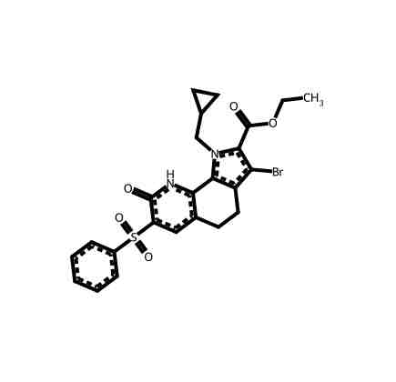 CCOC(=O)c1c(Br)c2c(n1CC1CC1)-c1[nH]c(=O)c(S(=O)(=O)c3ccccc3)cc1CC2